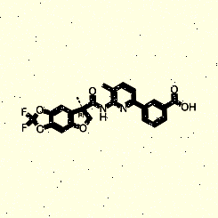 Cc1ccc(-c2cccc(C(=O)O)c2)nc1NC(=O)[C@@]1(C)COc2cc3c(cc21)OC(F)(F)O3